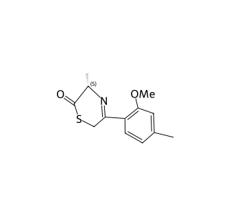 COc1cc(C)ccc1C1=N[C@@H](C)C(=O)SC1